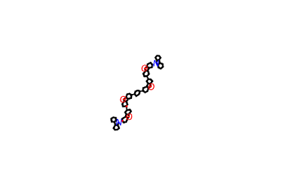 c1ccc2c(c1)c1ccccc1n2-c1ccc2oc3ccc(-c4ccc5oc6ccc(-c7ccc(-c8ccc9oc%10ccc(-c%11ccc%12oc%13ccc(-n%14c%15ccccc%15c%15ccccc%15%14)cc%13c%12c%11)cc%10c9c8)cc7)cc6c5c4)cc3c2c1